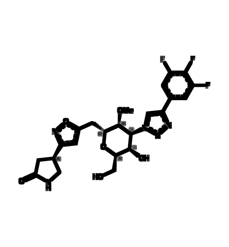 CO[C@@H]1[C@@H](n2cc(-c3cc(F)c(F)c(F)c3)nn2)[C@@H](O)[C@@H](CO)O[C@@H]1Cc1cc([C@H]2CNC(=O)C2)no1